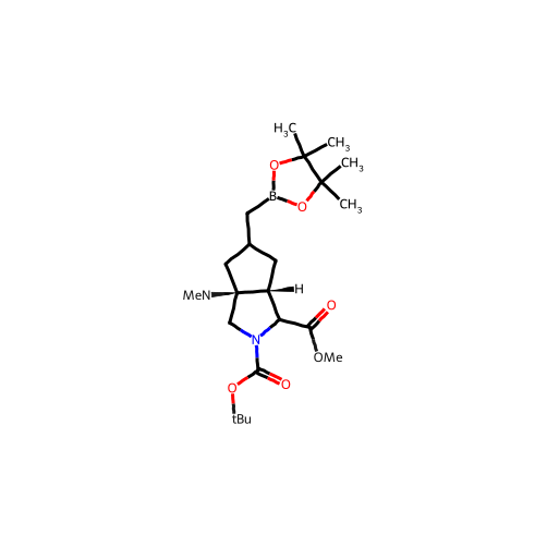 CN[C@@]12CC(CB3OC(C)(C)C(C)(C)O3)C[C@@H]1C(C(=O)OC)N(C(=O)OC(C)(C)C)C2